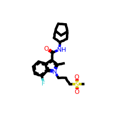 Cc1c(C(=O)NC2CC3CCC(C3)C2)c2cccc(F)c2n1CCCS(C)(=O)=O